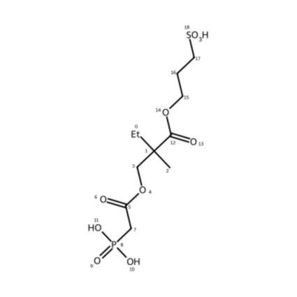 CCC(C)(COC(=O)CP(=O)(O)O)C(=O)OCCCS(=O)(=O)O